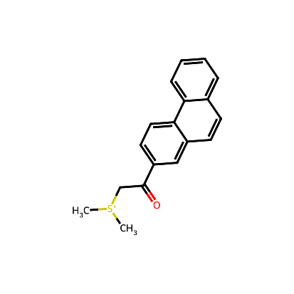 C[S+](C)CC(=O)c1ccc2c(ccc3ccccc32)c1